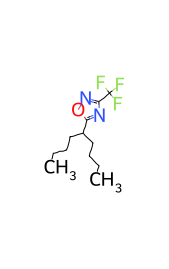 CCCCC(CCCC)c1nc(C(F)(F)F)no1